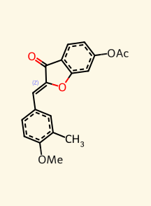 COc1ccc(/C=C2\Oc3cc(OC(C)=O)ccc3C2=O)cc1C